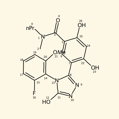 CCCN(C)C(=O)c1cc(-c2nnc(O)n2-c2c(F)cccc2OC)c(O)cc1O